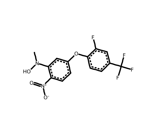 CN(O)c1cc(Oc2ccc(C(F)(F)F)cc2F)ccc1[N+](=O)[O-]